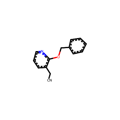 N#CCc1cccnc1OCc1ccccc1